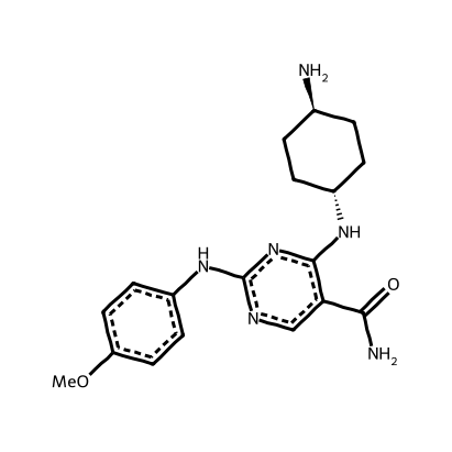 COc1ccc(Nc2ncc(C(N)=O)c(N[C@H]3CC[C@H](N)CC3)n2)cc1